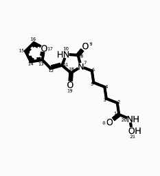 O=C(CCCCCN1C(=O)NC(=Cc2ccco2)C1=O)NO